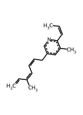 C=C/C(C)=C\C=C/Cc1cnc(/C=C\C)c(C)c1